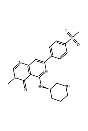 Cn1cnc2cc(-c3ccc(S(C)(=O)=O)cc3)nc(N[C@@H]3CCCNC3)c2c1=O